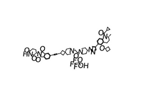 C[C@H]1CCc2c(ccc(-c3cnn(C4CCN(C(=O)CN5CCC6(CC5)CC(C#Cc5ccc7c(c5)C(=O)N(C5CCC(=O)NC5=O)C7=O)C6)CC4)c3)c2OC2CCC2)N1C(=O)C1CC1.O=C(O)C(F)(F)F